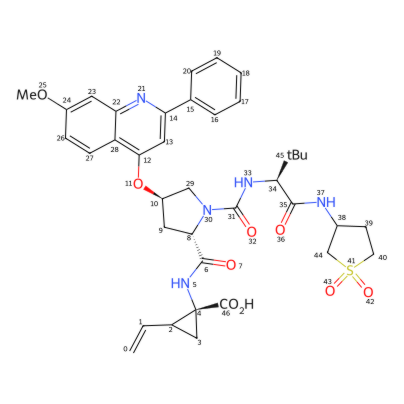 C=CC1C[C@]1(NC(=O)[C@@H]1C[C@@H](Oc2cc(-c3ccccc3)nc3cc(OC)ccc23)CN1C(=O)N[C@H](C(=O)NC1CCS(=O)(=O)C1)C(C)(C)C)C(=O)O